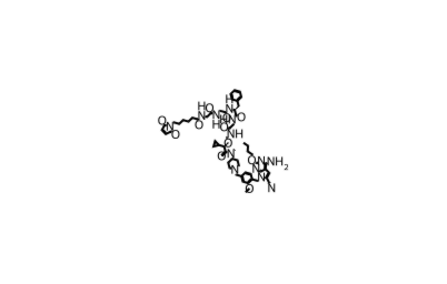 CCCCOc1nc(N)c2cc(C#N)n(Cc3ccc(CN4CCC(N(C)C(=O)[C@H](OCNC(=O)CNC(=O)[C@H](Cc5ccccc5)NC(=O)CNC(=O)CNC(=O)CCCCCN5C(=O)C=CC5=O)C5CC5)CC4)cc3OC)c2n1